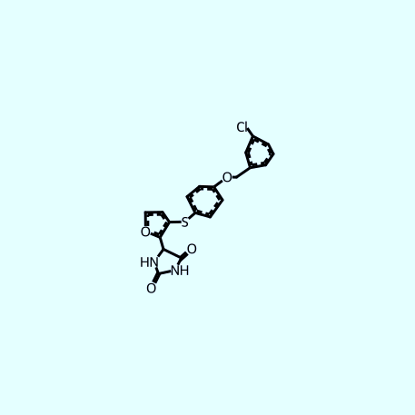 O=C1NC(=O)C(c2occc2Sc2ccc(OCc3cccc(Cl)c3)cc2)N1